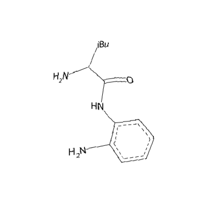 CCC(C)C(N)C(=O)Nc1ccccc1N